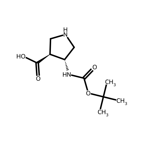 CC(C)(C)OC(=O)N[C@H]1CNC[C@@H]1C(=O)O